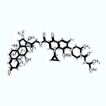 COc1c(N2CCN(C(=O)OC(C)OC(C)=O)C(C)C2)c(F)cc2c(=O)c(C(=O)OCC(=O)[C@]3(O)[C@@H](C)C[C@@H]4[C@H]5CCC6=CC(=O)C=C[C@@]6(C)[C@]5(F)[C@H](O)C[C@]43C)cn(C3CC3)c12